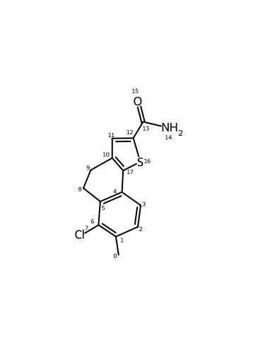 Cc1ccc2c(c1Cl)CCc1cc(C(N)=O)sc1-2